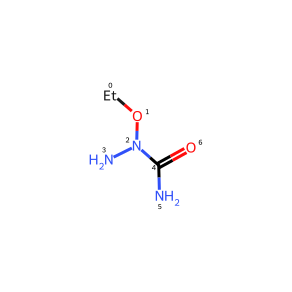 CCON(N)C(N)=O